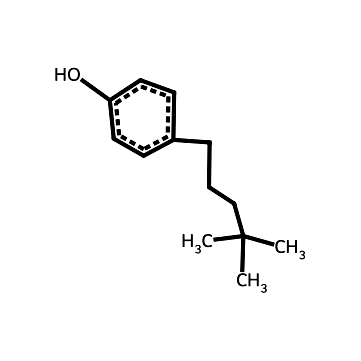 CC(C)(C)CCCc1ccc(O)cc1